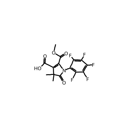 COC(=O)C1=C(C(=O)O)C(C)(C)C(=O)N1c1c(F)c(F)c(F)c(F)c1F